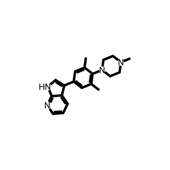 Cc1cc(-c2c[nH]c3ncccc23)cc(C)c1N1CCN(C)CC1